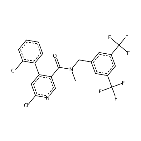 CN(Cc1cc(C(F)(F)F)cc(C(F)(F)F)c1)C(=O)c1cnc(Cl)cc1-c1ccccc1Cl